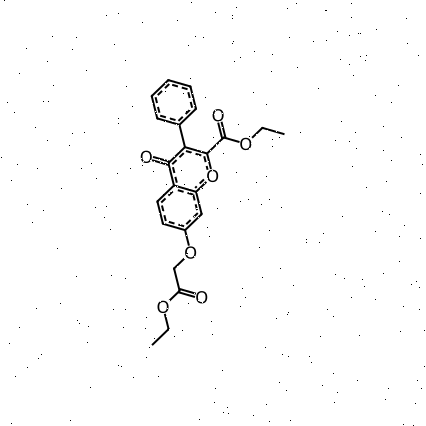 CCOC(=O)COc1ccc2c(=O)c(-c3ccccc3)c(C(=O)OCC)oc2c1